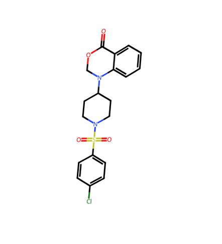 O=C1OCN(C2CCN(S(=O)(=O)c3ccc(Cl)cc3)CC2)c2ccccc21